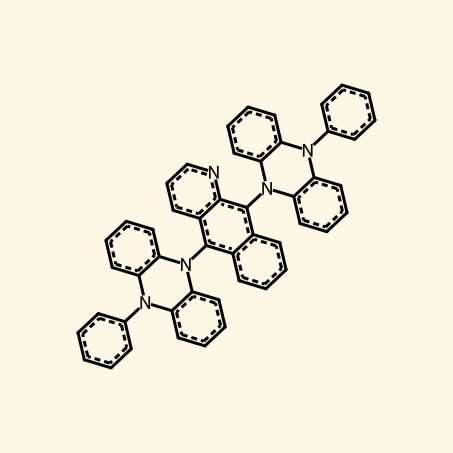 c1ccc(N2c3ccccc3N(c3c4ccccc4c(N4c5ccccc5N(c5ccccc5)c5ccccc54)c4ncccc34)c3ccccc32)cc1